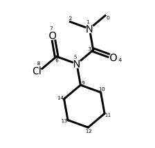 CN(C)C(=O)N(C(=O)Cl)C1CCCCC1